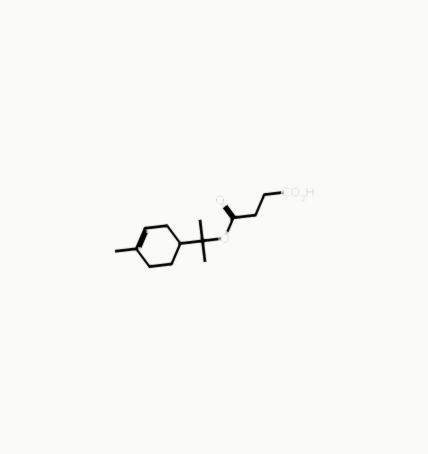 CC1=CCC(C(C)(C)OC(=O)CCC(=O)O)CC1